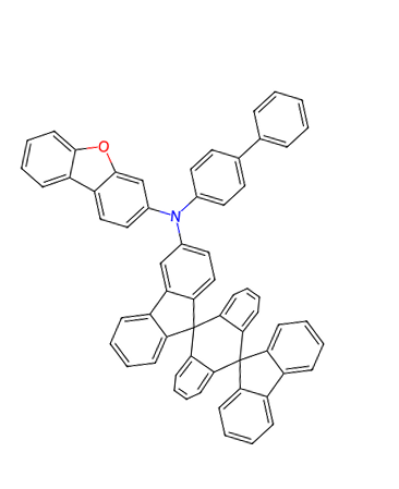 c1ccc(-c2ccc(N(c3ccc4c(c3)-c3ccccc3C43c4ccccc4C4(c5ccccc5-c5ccccc54)c4ccccc43)c3ccc4c(c3)oc3ccccc34)cc2)cc1